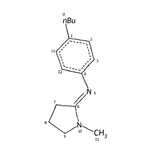 CCCCc1ccc(/N=C2\CCCN2C)cc1